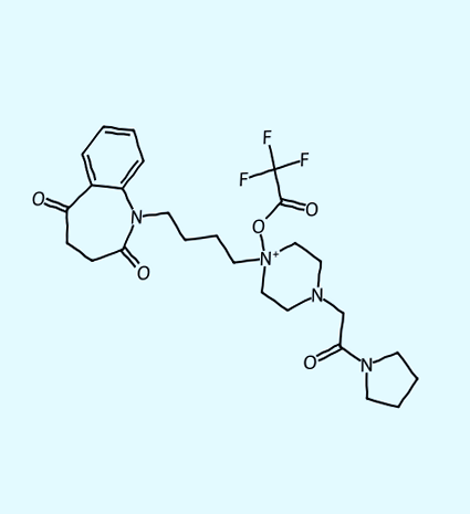 O=C1CCC(=O)N(CCCC[N+]2(OC(=O)C(F)(F)F)CCN(CC(=O)N3CCCC3)CC2)c2ccccc21